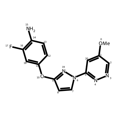 COc1cnnc(-n2ccc(Oc3ccc(N)c(F)c3)n2)c1